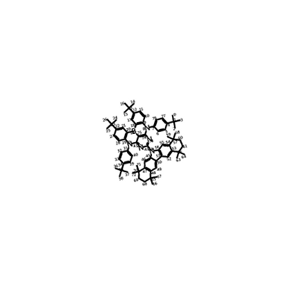 CC(C)(C)c1ccc(N2c3ccc(C(C)(C)C)cc3B3c4cc(C(C)(C)C)ccc4N(c4ccc(C(C)(C)C)cc4)c4nc(-n5c6cc7c(cc6c6cc8c(cc65)C(C)(C)CCC8(C)C)C(C)(C)CCC7(C)C)nc2c43)cc1